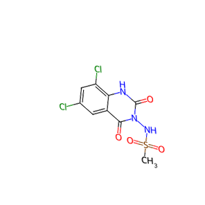 CS(=O)(=O)Nn1c(=O)[nH]c2c(Cl)cc(Cl)cc2c1=O